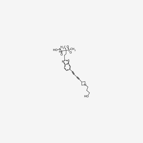 C[C@@](CCc1nc2ccc(C#CC#CC3CN(CCCO)C3)cc2s1)(C(=O)NO)S(C)(=O)=O